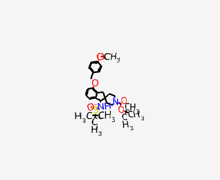 COc1ccc(COc2cccc3c2CC2(CCN(C(=O)OC(C)(C)C)CC2)[C@@H]3N[S+]([O-])C(C)(C)C)cc1